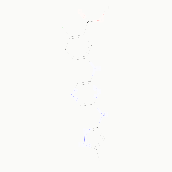 COC(=O)c1cc(Nc2cncc(Nc3cc(C)[nH]n3)n2)ccc1Cl